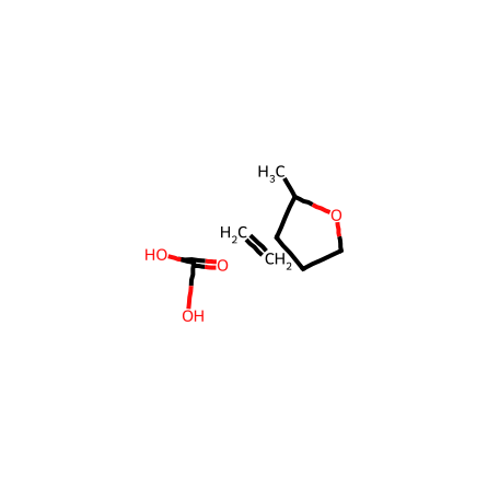 C=C.CC1CCCO1.O=C(O)O